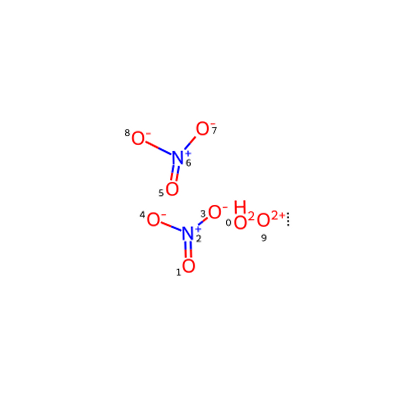 O.O=[N+]([O-])[O-].O=[N+]([O-])[O-].[O+2]